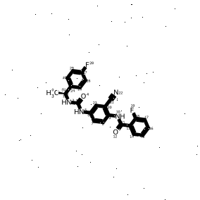 C[C@H](NC(=O)Nc1ccc(NC(=O)c2ccccc2F)c(C#N)c1)c1ccc(F)cc1